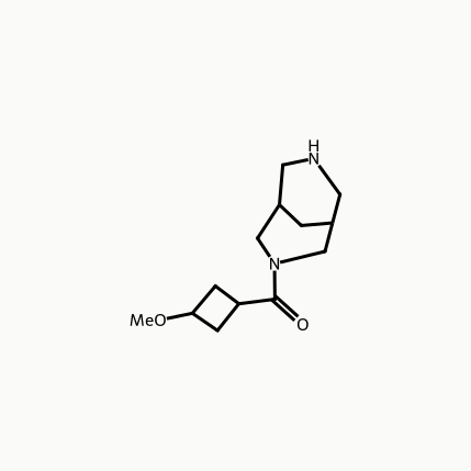 COC1CC(C(=O)N2CC3CNCC(C3)C2)C1